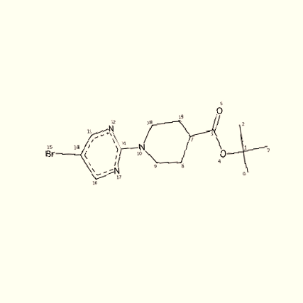 CC(C)(C)OC(=O)C1CCN(c2ncc(Br)cn2)CC1